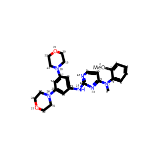 COc1ccccc1N(C)c1ccnc(Nc2cc(N3CCOCC3)cc(N3CCOCC3)c2)n1